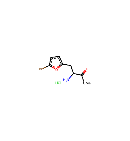 COC(=O)C(N)Cc1ccc(Br)o1.Cl